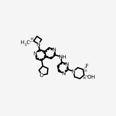 C[C@@H]1CCN1c1ncc(C2CCOC2)c2cc(Nc3ccnc(N4CC[C@@H](O)[C@@H](F)C4)n3)ncc12